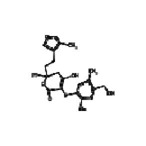 Cc1cc(SC2=C(O)CC(CCc3cocc3C)(C(C)C)OC2=O)c(C(C)(C)C)cc1CO